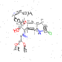 CCOC(CNC1c2cc3nc(Cl)cc(C)c3cc2OC(C)(C)C1O)OCC.O=C(O)/C=C\C(=O)O